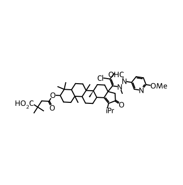 COc1ccc(N(C=O)N(C)/C(=C(\C)Cl)C23CC[C@]4(C)C(CCC5C6(C)CCC(OC(=O)CC(C)(C)C(=O)O)C(C)(C)C6CCC54C)C2=C(C(C)C)C(=O)C3)cn1